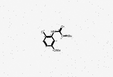 COc1ccc(Cl)c(NC(=O)OC(C)(C)C)c1